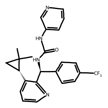 CC1(C)C[C@H]1c1cccnc1[C@@H](NC(=O)Nc1cccnc1)c1ccc(C(F)(F)F)cc1